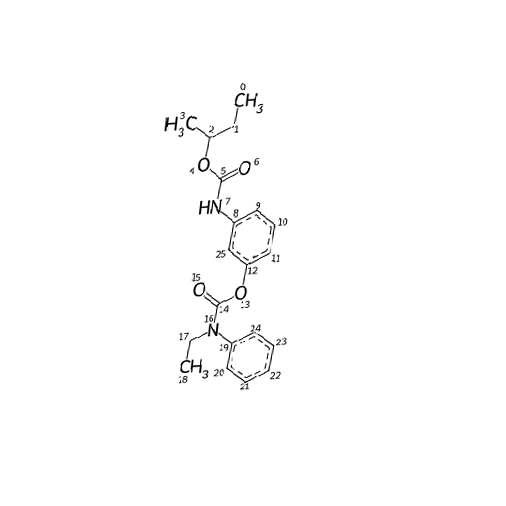 CCC(C)OC(=O)Nc1cccc(OC(=O)N(CC)c2ccccc2)c1